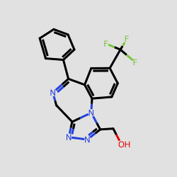 OCc1nnc2n1-c1ccc(C(F)(F)F)cc1C(c1ccccc1)=NC2